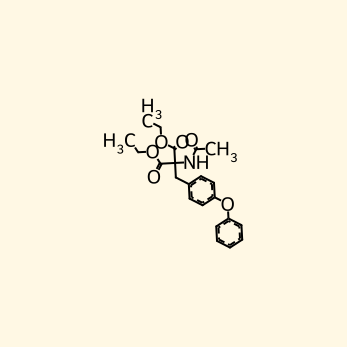 CCOC(=O)C(Cc1ccc(Oc2ccccc2)cc1)(NC(C)=O)C(=O)OCC